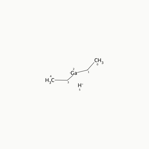 C[CH2][Ga][CH2]C.[H-]